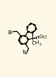 CCCCCCCCC1(C)c2ccccc2-c2c(CBr)ccc(CBr)c21